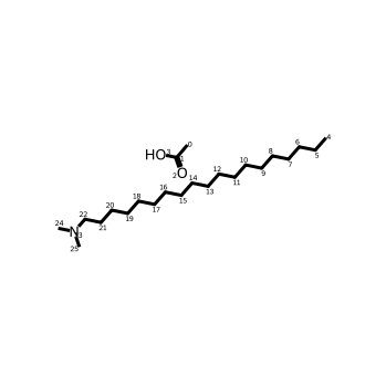 CC(=O)O.CCCCCCCCCCCCCCCCCCCN(C)C